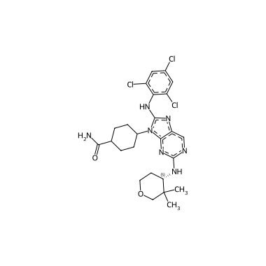 CC1(C)COCC[C@@H]1Nc1ncc2nc(Nc3c(Cl)cc(Cl)cc3Cl)n(C3CCC(C(N)=O)CC3)c2n1